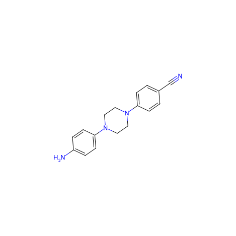 N#Cc1ccc(N2CCN(c3ccc(N)cc3)CC2)cc1